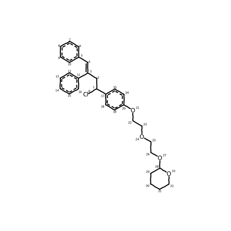 ClC(CC(=Cc1ccccc1)c1ccccc1)c1ccc(OCCOCCOC2CCCCO2)cc1